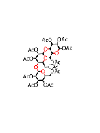 CC(=O)OCC1OC(OC2C(COC(C)=O)OC(OC3C(COC(C)=O)OC(OC(C)=O)C(OC(C)=O)C3OC(C)=O)C(OC(C)=O)C2OC(C)=O)C(OC(C)=O)C(OC(C)=O)C1OC(C)=O